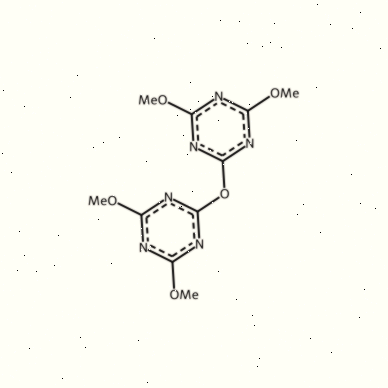 COc1nc(OC)nc(Oc2nc(OC)nc(OC)n2)n1